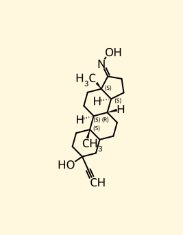 C#CC1(O)CC[C@@]2(C)C(CC[C@@H]3[C@@H]2CC[C@]2(C)C(=NO)CC[C@@H]32)C1